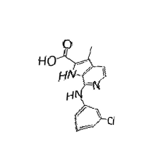 Cc1c(C(=O)O)[nH]c2c(Nc3cccc(Cl)c3)nccc12